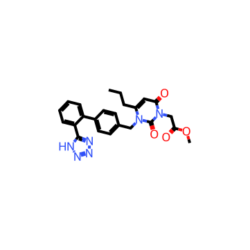 CCCc1cc(=O)n(CC(=O)OC)c(=O)n1Cc1ccc(-c2ccccc2-c2nnn[nH]2)cc1